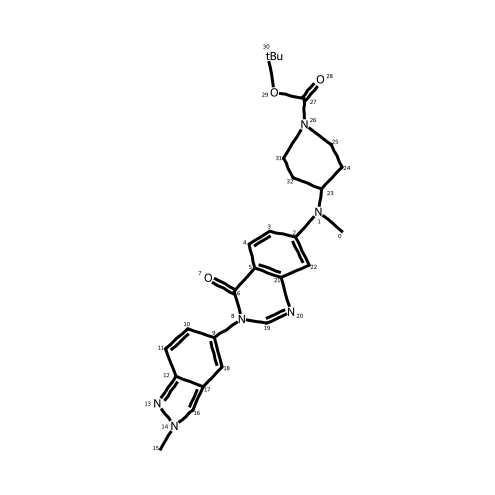 CN(c1ccc2c(=O)n(-c3ccc4nn(C)cc4c3)cnc2c1)C1CCN(C(=O)OC(C)(C)C)CC1